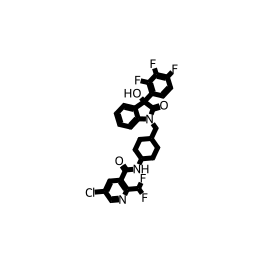 O=C(NC1CCC(CN2C(=O)C(O)(c3ccc(F)c(F)c3F)c3ccccc32)CC1)c1cc(Cl)cnc1C(F)F